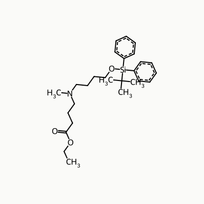 CCOC(=O)CCCN(C)CCCCO[Si](c1ccccc1)(c1ccccc1)C(C)(C)C